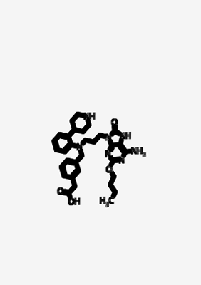 CCCCOc1nc(N)c2[nH]c(=O)n(CCCN(Cc3cccc(CC(=O)O)c3)c3ccccc3C3CCNCC3)c2n1